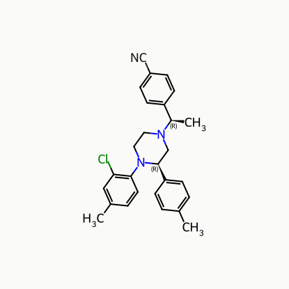 Cc1ccc([C@@H]2CN([C@H](C)c3ccc(C#N)cc3)CCN2c2ccc(C)cc2Cl)cc1